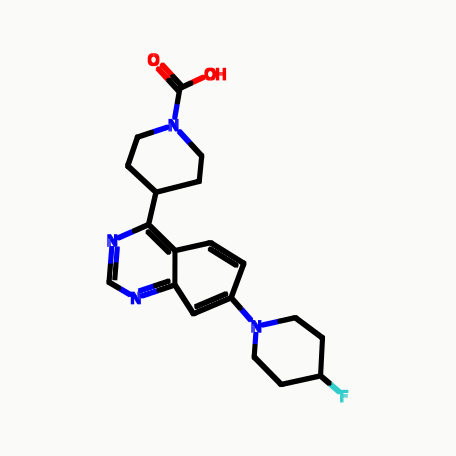 O=C(O)N1CCC(c2ncnc3cc(N4CCC(F)CC4)ccc23)CC1